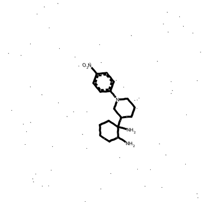 NC1CCCCC1(N)C1CCCN(c2ccc([N+](=O)[O-])cc2)C1